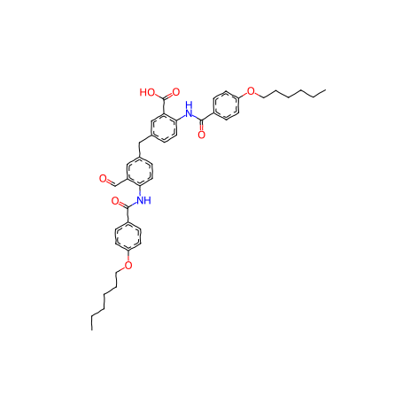 CCCCCCOc1ccc(C(=O)Nc2ccc(Cc3ccc(NC(=O)c4ccc(OCCCCCC)cc4)c(C(=O)O)c3)cc2C=O)cc1